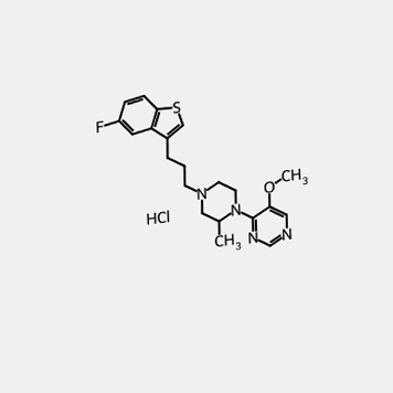 COc1cncnc1N1CCN(CCCc2csc3ccc(F)cc23)CC1C.Cl